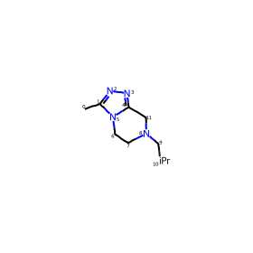 Cc1nnc2n1CCN(CC(C)C)C2